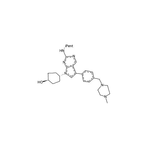 CCC[C@@H](C)Nc1ncc2c(-c3ccc(CN4CCN(C)CC4)cc3)cn([C@H]3CC[C@H](O)CC3)c2n1